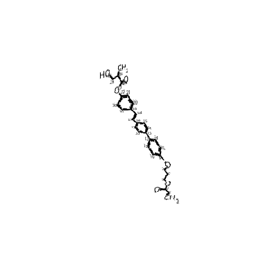 C=CC(=O)OCCCOc1ccc(-c2ccc(/C=C/c3ccc(OC(=O)C(=C)CO)cc3)cc2)cc1